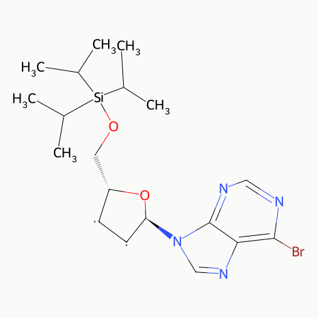 CC(C)[Si](OC[C@H]1[CH][CH][C@H](n2cnc3c(Br)ncnc32)O1)(C(C)C)C(C)C